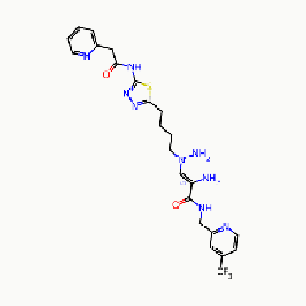 N/C(=C\N(N)CCCCc1nnc(NC(=O)Cc2ccccn2)s1)C(=O)NCc1cc(C(F)(F)F)ccn1